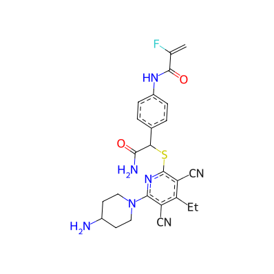 C=C(F)C(=O)Nc1ccc(C(Sc2nc(N3CCC(N)CC3)c(C#N)c(CC)c2C#N)C(N)=O)cc1